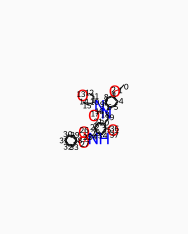 CCOc1ccc2c(c1)n(C1CCOCC1)c(=O)n2Cc1ccc(NC(=O)Oc2ccccc2)cc1OC